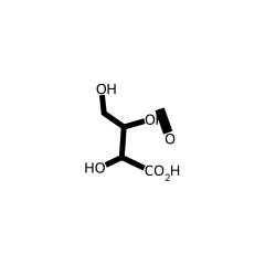 C=O.O=C(O)C(O)C(O)CO